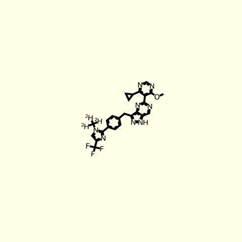 [2H]C([2H])([2H])n1cc(C(F)(F)F)nc1-c1ccc(Cc2n[nH]c3cnc(-c4c(OC)ncnc4C4CC4)nc23)cc1